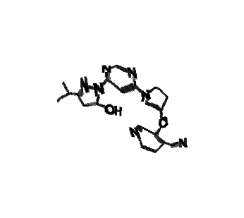 CC(C)c1cc(O)n(-c2cc(N3CCC(Oc4cnccc4C#N)C3)ncn2)n1